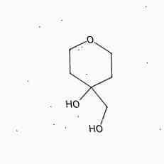 OCC1(O)CCOCC1